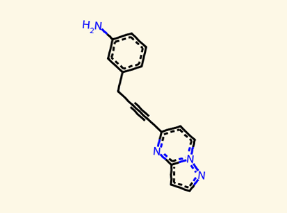 Nc1cccc(CC#Cc2ccn3nccc3n2)c1